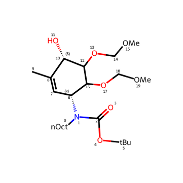 CCCCCCCCN(C(=O)OC(C)(C)C)[C@@H]1C=C(C)[C@H](O)C(OCOC)C1OCOC